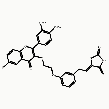 COc1ccc(-c2oc3ccc(F)cc3c(=O)c2OCCOc2cccc(CC=C3SC(=O)NC3=O)c2)cc1OC